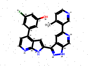 Cc1ccncc1-c1cc2c(-c3cc4c(-c5cc(O)cc(F)c5)ccnc4[nH]3)n[nH]c2cn1